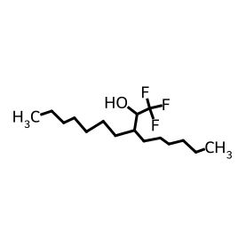 CCCCCCCC(CCCCCC)C(O)C(F)(F)F